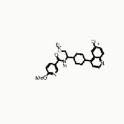 CCOCC(NC(=O)c1ccc(OC)nc1)C1CCC(c2ccnc3ccc(C(F)(F)F)cc23)CC1